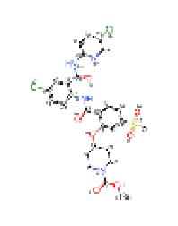 CC(C)(C)OC(=O)N1CCC(Oc2cc(S(C)(=O)=O)ccc2C(=O)Nc2ccc(Cl)cc2C(=O)Nc2ccc(Cl)cn2)CC1